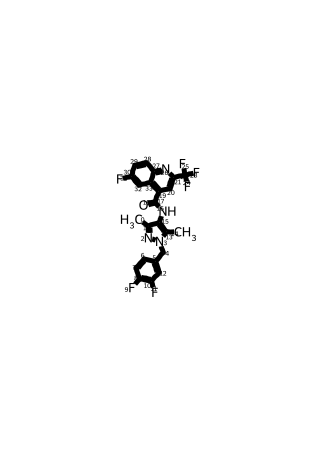 Cc1nn(Cc2ccc(F)c(F)c2)c(C)c1NC(=O)c1cc(C(F)(F)F)nc2ccc(F)cc12